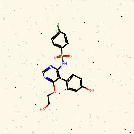 O=S(=O)(Nc1ncnc(OCCO)c1-c1ccc(O)cc1)c1ccc(Cl)cc1